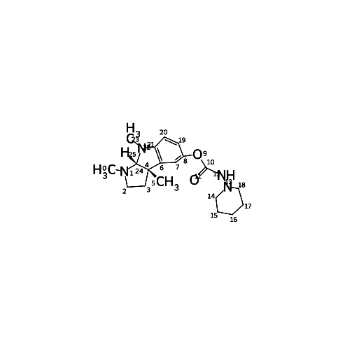 CN1CC[C@@]2(C)c3cc(OC(=O)NN4CCCCC4)ccc3N(C)[C@@H]12